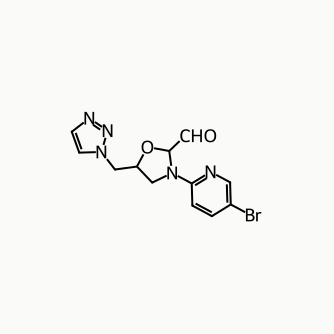 O=CC1OC(Cn2ccnn2)CN1c1ccc(Br)cn1